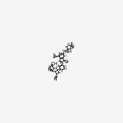 Cn1cnnc1CC1(c2cccc(N3Cc4c(cc(CNC5CCC(F)(F)C5)nc4C4CC4)C3=O)c2)CC(C#N)C1